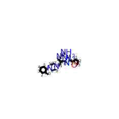 Cc1ccccc1N1CCN(Cc2cnc(N)n3nc(-c4ccco4)nc23)CC1